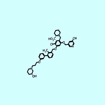 Cc1c(COc2cc(OCc3cncc(C#N)c3)c(CN3CCCC[C@H]3C(=O)O)cc2Cl)cccc1-c1cccc(OCCCN2CCC[C@@H](O)C2)c1